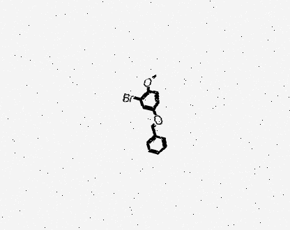 COc1ccc(OCc2ccccc2)cc1Br